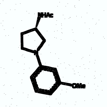 COc1cccc(N2CC[C@H](NC(C)=O)C2)c1